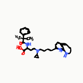 CC(C)(C(=O)NC(CCN(CCCCc1ccc2c(n1)NCCC2)C1CC1)C(=O)O)c1ccccc1